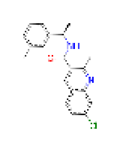 Cc1cccc([C@@H](C)NC(=O)c2cc3ccc(Cl)cc3nc2C)c1